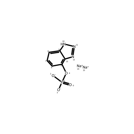 O=P([O-])([O-])Oc1cccc2[nH]nnc12.[Na+].[Na+]